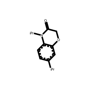 CC(C)c1ccc2c(c1)OCC(=O)N2C(C)C